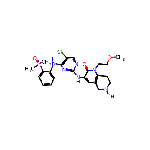 COCCn1c2c(cc(Nc3ncc(Cl)c(Nc4ccccc4P(C)(C)=O)n3)c1=O)CN(C)CC2